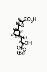 CC(C)(C)OC(=O)/C(O)=C/C(=O)c1cccc(-c2ncc(C(=O)O)o2)c1